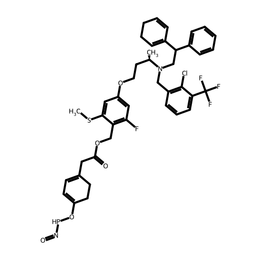 CSc1cc(OCC[C@@H](C)N(Cc2cccc(C(F)(F)F)c2Cl)CC(C2=CCCC=C2)c2ccccc2)cc(F)c1COC(=O)CC1=CC=C(OPN=O)CC1